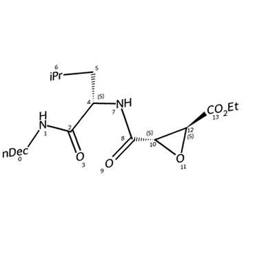 CCCCCCCCCCNC(=O)[C@H](CC(C)C)NC(=O)[C@H]1O[C@@H]1C(=O)OCC